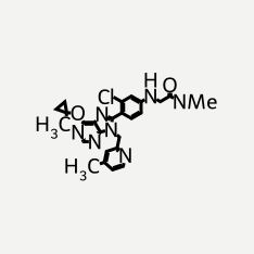 CNC(=O)CNc1ccc(-c2nc3c(OC4(C)CC4)ncnc3n2Cc2cc(C)ccn2)c(Cl)c1